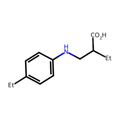 CCc1ccc(NCC(CC)C(=O)O)cc1